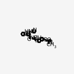 Cc1ncoc1COc1ccc2c(c1)CCN(CC(O)CNC(=O)c1cc(Nc3cccnc3)nc(N3CCCCC3)c1)C2